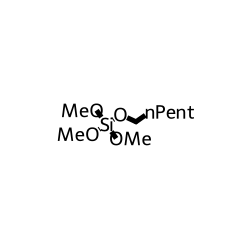 CCCCCCO[Si](OC)(OC)OC